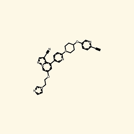 C#Cc1ccc(OC2CCN(c3ccc(-c4cc(OCCn5ccnc5)cn5ncc(C#N)c45)cn3)CC2)cn1